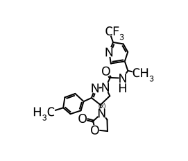 Cc1ccc(C2=NN(C(=O)NC(C)c3ccc(C(F)(F)F)nc3)C[C@H]2N2CCOC2=O)cc1